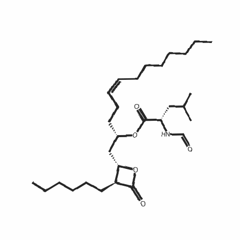 CCCCCCC/C=C\CC[C@@H](C[C@@H]1OC(=O)[C@H]1CCCCCC)OC(=O)[C@H](CC(C)C)NC=O